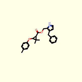 Cc1ccc(OC2C(C(=O)OCc3[nH]ccc3Cc3ccccc3)C2(C)C)cc1